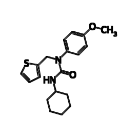 COc1ccc(N(Cc2cccs2)C(=O)NC2CCCCC2)cc1